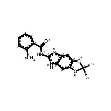 Cc1ccccc1C(=O)Nc1nc2cc3c(cc2[nH]1)OC(F)(F)O3